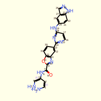 N/C=C\C(=C/N)NC(=O)c1nc2cc(-c3nccc(Nc4ccc5[nH]ncc5c4)n3)ccc2o1